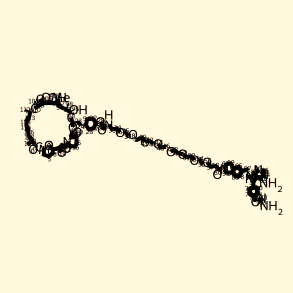 CO[C@H]1CC2CCCC(O2)C(=O)C(=O)N2CCCC[C@H]2C(=O)O[C@H](CC[C@H]2CC[C@H](OC(=O)NCCOCCOCCOCCOCCOCCOCCOCCOCCC(=O)N3CCc4cc(Cn5nc(-c6ccc7oc(N)nc7c6)c6c(N)ncnc65)ccc4C3)CC2)C[C@@H](O)[C@H](C)/C=C(\C)[C@@H](O)[C@@H](OC)C(=O)[C@H](C)C[C@H](C)/C=C/C=C/C=C/1C